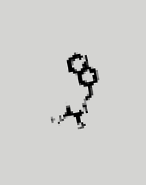 N#CC(=NOCc1ccc2ncccc2c1)C(N)=O